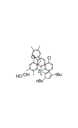 Cl.Cl.[CH2]=[Zr]([C]1=CC(C(C)(C)C)=CC1CCCC)([c]1cccc(Cl)c1)([c]1cccc(Cl)c1)[c]1c(C)c(C)cc2c1Cc1cc(C)c(C)cc1-2